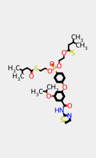 CC(C)CC(=O)SCCOP(=O)(OCCOC(=S)CC(C)C)c1ccc(Oc2cc(OC(C)C)cc(C(=O)Nc3nccs3)c2)cc1